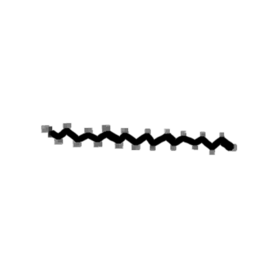 C=CCCCC/C=C/CCCC/C=C/CCCCCI